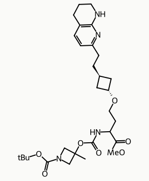 COC(=O)C(CCO[C@H]1C[C@H](CCc2ccc3c(n2)NCCC3)C1)NC(=O)OC1(C)CN(C(=O)OC(C)(C)C)C1